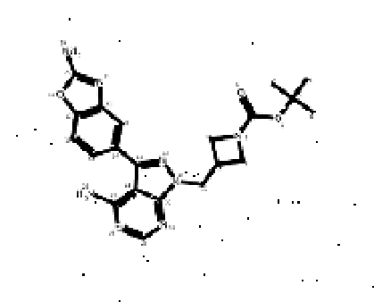 CC(C)(C)OC(=O)N1CC(Cn2nc(-c3ccc4oc(N)nc4c3)c3c(N)ncnc32)C1